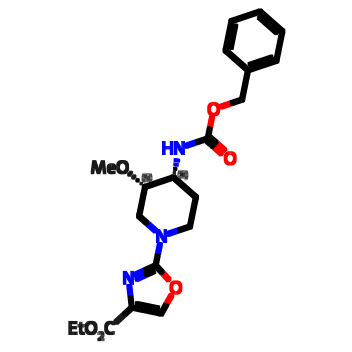 CCOC(=O)c1coc(N2CC[C@@H](NC(=O)OCc3ccccc3)[C@@H](OC)C2)n1